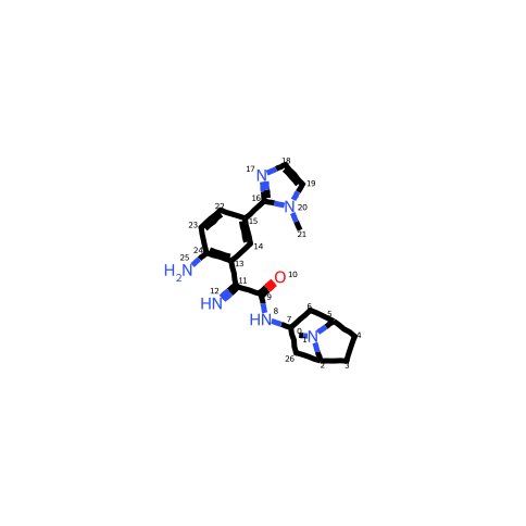 CN1C2CCC1CC(NC(=O)C(=N)c1cc(-c3nccn3C)ccc1N)C2